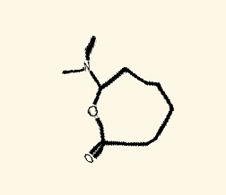 CN(C)C1CCCCCC(=O)O1